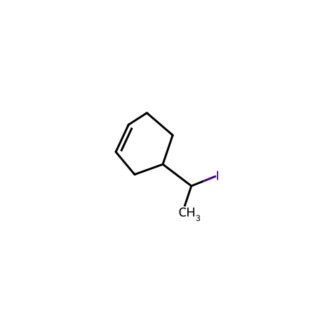 CC(I)C1CC=CCC1